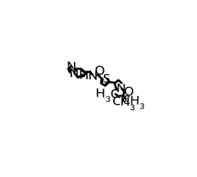 CC(C)C(C)C(=O)N1CCC(c2ccc(C(=O)NCc3ccn4ccnc4c3)s2)C1